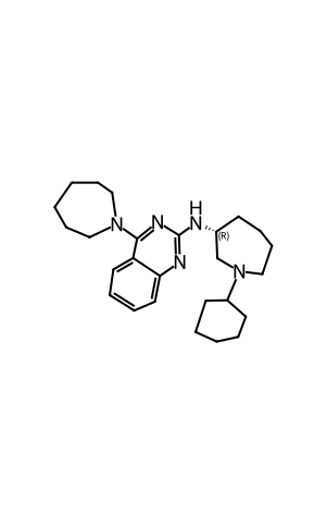 c1ccc2c(N3CCCCCC3)nc(N[C@@H]3CCCCN(C4CCCCC4)C3)nc2c1